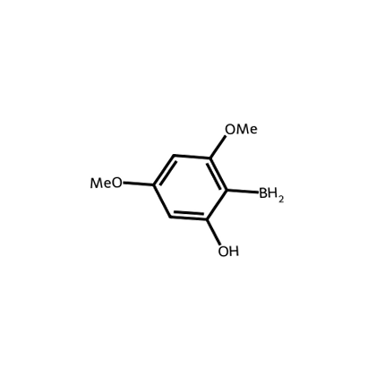 Bc1c(O)cc(OC)cc1OC